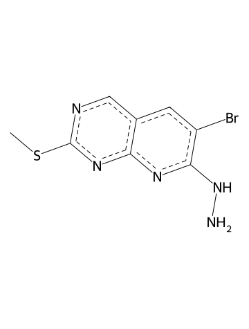 CSc1ncc2cc(Br)c(NN)nc2n1